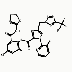 Cc1cc(Cl)cc(C(=O)NC2=NCCS2)c1NC(=O)c1cc(Cn2nnc(C(F)(F)C(F)(F)F)n2)nn1-c1ncccc1Cl